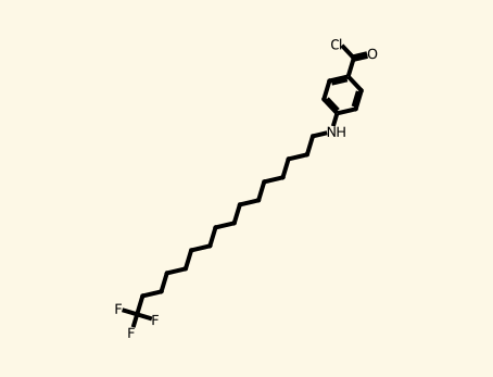 O=C(Cl)c1ccc(NCCCCCCCCCCCCCCCC(F)(F)F)cc1